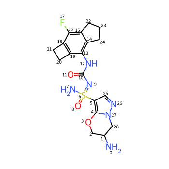 NC1COc2c(S(N)(=O)=NC(=O)Nc3c4c(c(F)c5c3CC5)CCC4)cnn2C1